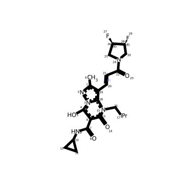 Cc1nn2c(O)c(C(=O)NC3CC3)c(=O)n(CC(C)C)c2c1/C=C/C(=O)N1C[C@@H](F)[C@H](F)C1